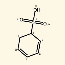 O=S(=O)(O)[C]1C=CC=CC1